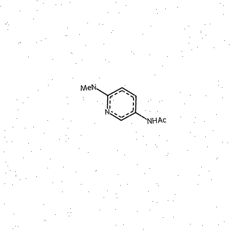 CNc1ccc(NC(C)=O)cn1